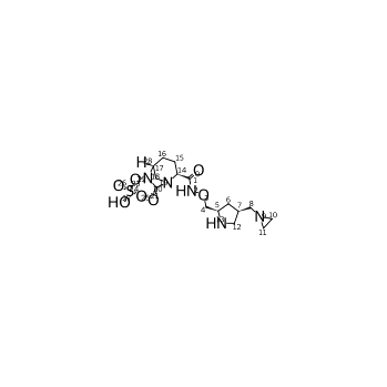 O=C(NOC[C@H]1C[C@@H](CN2CC2)CN1)[C@@H]1CC[C@@H]2CN1C(=O)N2OS(=O)(=O)O